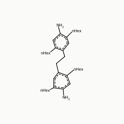 CCCCCCc1cc(CCc2cc(CCCCCC)c(N)cc2CCCCCC)c(CCCCCC)cc1N